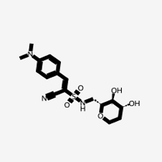 CN(C)c1ccc(/C=C(\C#N)S(=O)(=O)NC[C@H]2OCC[C@@H](O)[C@@H]2O)cc1